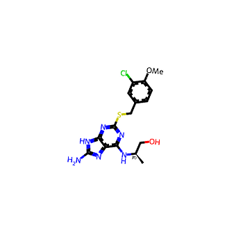 COc1ccc(CSc2nc(N[C@H](C)CO)c3nc(N)[nH]c3n2)cc1Cl